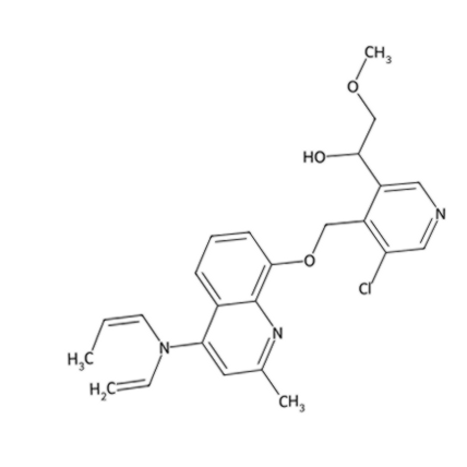 C=CN(/C=C\C)c1cc(C)nc2c(OCc3c(Cl)cncc3C(O)COC)cccc12